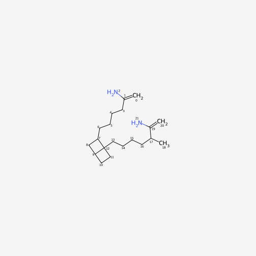 C=C(N)CCCCC1CC2CCC12CCCCC(C)C(=C)N